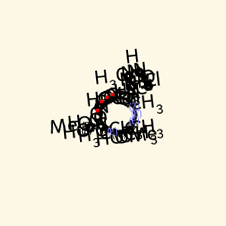 CO[C@@H]1C[C@@H](CC(C)[C@@H]2CC(=O)[C@H](C)/C=C(\C)[C@@H](O)[C@@H](OC)C(=O)[C@H](C)C[C@H](C)/C=C/C=C/C=C(/C)[C@@H](OCCN3CCN(c4cc(Nc5ncc(C(=O)Nc6c(C)cccc6Cl)s5)nc(C)n4)CC3)CCCC[C@@H](C)C(O)(O)C(=O)C(=O)N3CCCCC3C(=O)O2)CC[C@H]1O